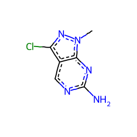 Cn1nc(Cl)c2cnc(N)nc21